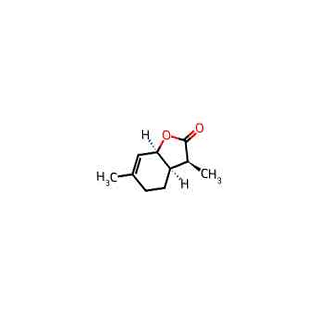 CC1=C[C@H]2OC(=O)[C@@H](C)[C@H]2CC1